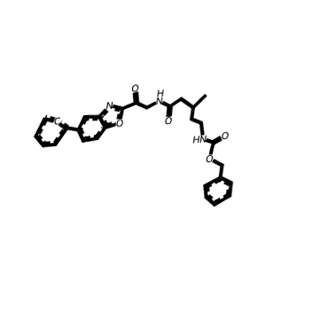 CC(CCNC(=O)OCc1ccccc1)CC(=O)NCC(=O)c1nc2cc(-c3ccccc3)ccc2o1